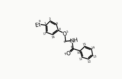 CCc1ccc(OCNC(=O)c2ccccc2)cc1